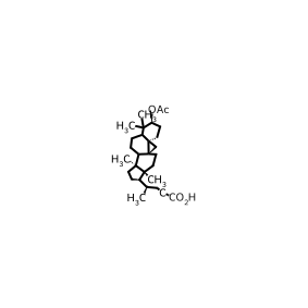 CC(=O)O[C@H]1CC[C@]23C[C@]24CC[C@]2(C)[C@@H]([C@H](C)CCC(=O)O)CC[C@@]2(C)C4CCC3C1(C)C